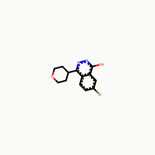 Oc1nnc(C2CCOCC2)c2ccc(Br)cc12